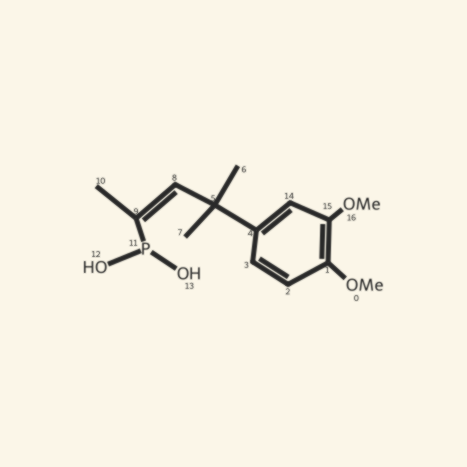 COc1ccc(C(C)(C)/C=C(/C)P(O)O)cc1OC